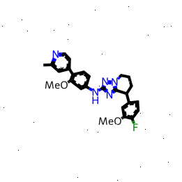 COc1cc(C2CCCn3nc(Nc4ccc(-c5ccnc(C)c5)c(OC)c4)nc32)ccc1F